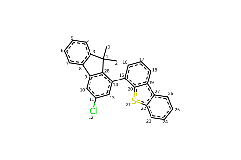 CC1(C)c2ccccc2-c2cc(Cl)cc(-c3cccc4c3sc3ccccc34)c21